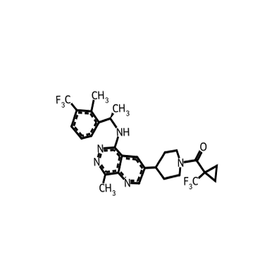 Cc1c([C@@H](C)Nc2nnc(C)c3ncc(C4CCN(C(=O)C5(C(F)(F)F)CC5)CC4)cc23)cccc1C(F)(F)F